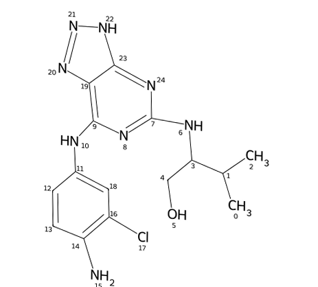 CC(C)C(CO)Nc1nc(Nc2ccc(N)c(Cl)c2)c2nn[nH]c2n1